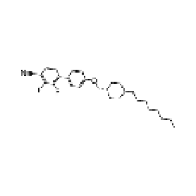 CCCCCCCC[C@H]1CC[C@H](COc2ccc(-c3ccc(C#N)c(F)c3F)cc2)CC1